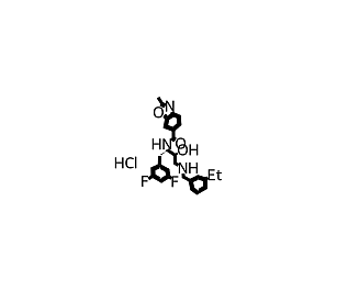 CCc1cccc(CNC[C@H](O)[C@H](Cc2cc(F)cc(F)c2)NC(=O)c2ccc3nc(C)oc3c2)c1.Cl